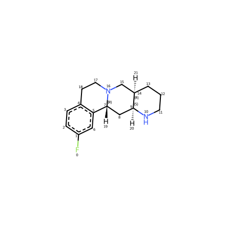 Fc1ccc2c(c1)[C@H]1C[C@@H]3NCCC[C@@H]3CN1CC2